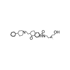 C[C@@H](CCO)CCNC(=O)c1ccc2c(c1)CCC(CCN1CCC(c3ccccc3)CC1)C2=O